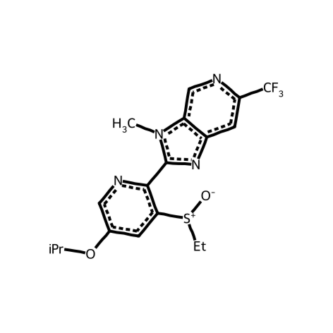 CC[S+]([O-])c1cc(OC(C)C)cnc1-c1nc2cc(C(F)(F)F)ncc2n1C